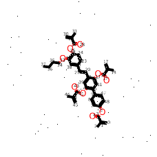 C=C(C)C(=O)Oc1ccc(-c2cc(OC(=O)C(=C)C)c(/C=C/c3ccc(OC(=O)C(=C)C)c(OCCCC)c3)cc2OC(=O)C(=C)C)cc1